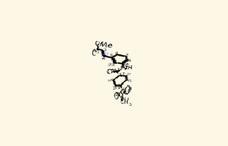 COC(=O)/C=C/c1cccc(NC(=O)[C@H]2CC[C@@H](S(C)(=O)=O)CC2)c1